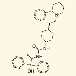 C[C@@H](NC(=O)N[C@H]1CC[C@H](CCN2CCCCC2c2ccccc2)CC1)C(O)(c1ccccc1)c1ccccc1